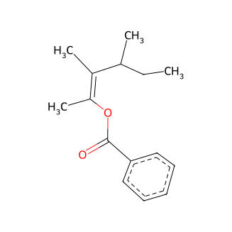 CCC(C)C(C)=C(C)OC(=O)c1ccccc1